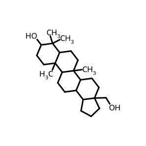 CC1(C)C(O)CCC2(C)C1CCC1(C)C3CCC4(CO)CCCC4C3CCC12